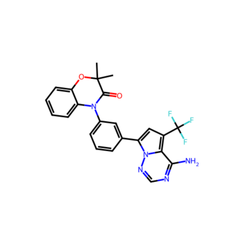 CC1(C)Oc2ccccc2N(c2cccc(-c3cc(C(F)(F)F)c4c(N)ncnn34)c2)C1=O